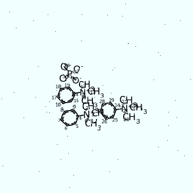 C[N+](C)(C)c1ccccc1.C[N+](C)(C)c1ccccc1.C[N+](C)(C)c1ccccc1.O=P([O-])([O-])[O-]